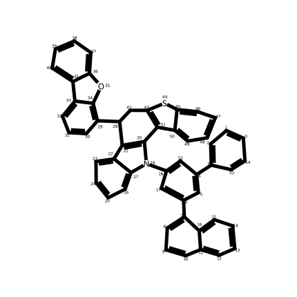 c1ccc(-c2cc(-c3cccc4ccccc34)cc(-n3c4c(c5ccccc53)C(c3cccc5c3oc3ccccc35)Cc3sc5ccccc5c3-4)c2)cc1